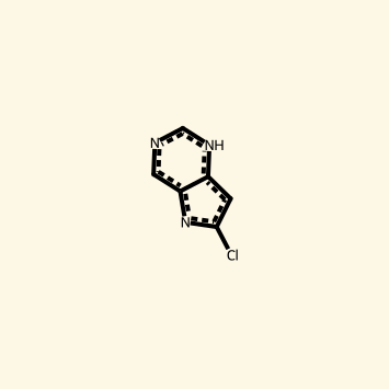 Clc1cc2[nH]cncc-2n1